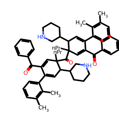 CCCC1(C(=O)C2(CCC)C=C(C(=O)c3ccccc3)C(c3cccc(C)c3C)=CC2C2CCCNC2)C=C(C(=O)c2ccccc2)C(c2cccc(C)c2C)=CC1C1CCCNC1